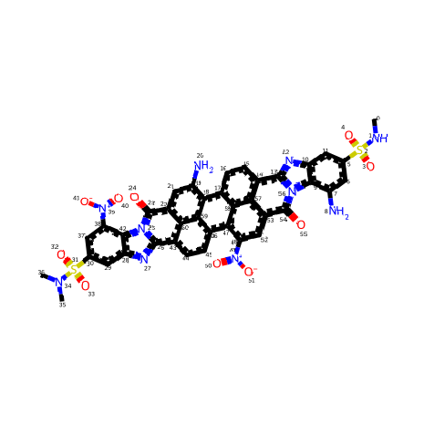 CNS(=O)(=O)c1cc(N)c2c(c1)nc1c3ccc4c5c(N)cc6c(=O)n7c(nc8cc(S(=O)(=O)N(C)C)cc([N+](=O)[O-])c87)c7ccc(c8c([N+](=O)[O-])cc(c(=O)n12)c3c48)c5c67